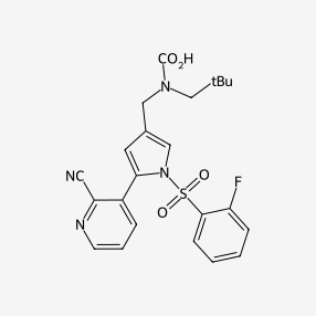 CC(C)(C)CN(Cc1cc(-c2cccnc2C#N)n(S(=O)(=O)c2ccccc2F)c1)C(=O)O